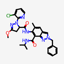 COC1=NN(c2ncccc2Cl)C(C(=O)Nc2c(C)cc3cn(Cc4ccccc4)nc3c2C(=O)NC(C)C)C1